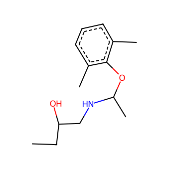 CCC(O)CNC(C)Oc1c(C)cccc1C